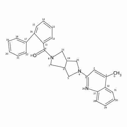 Cc1cc(N2CC3CN(C(=O)c4ccccc4-c4ccccc4)CC3C2)nc2ccccc12